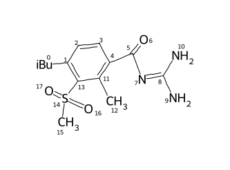 CCC(C)c1ccc(C(=O)N=C(N)N)c(C)c1S(C)(=O)=O